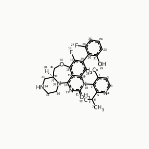 Cc1ccnc(C(C)C)c1-n1c(=O)nc2c3c(c(F)c(-c4c(O)cccc4F)cc31)OC[C@@H]1CNCCN21